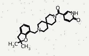 CC1(C)Cc2cccc(CN3CCC4(CC3)CCN(C(=O)c3ccc(=O)[nH]c3)CC4)c2O1